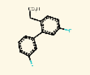 O=C(O)Cc1ccc(F)cc1-c1cccc(F)c1